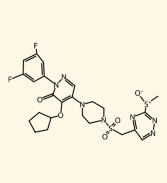 C[S+]([O-])c1nncc(CS(=O)(=O)N2CCN(c3cnn(-c4cc(F)cc(F)c4)c(=O)c3OC3CCCC3)CC2)n1